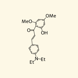 CCN(CC)c1ccc(C=CC(=O)c2c(O)cc(OC)cc2OC)cc1